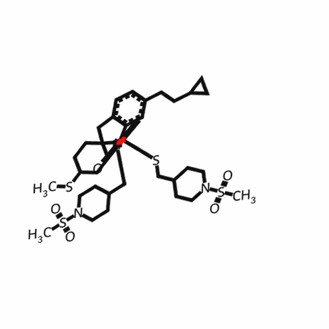 CSC1CCC2(CC1)Cc1ccc(CCC3CC3)cc1C21N=C(SCC2CCN(S(C)(=O)=O)CC2)N(CC2CCN(S(C)(=O)=O)CC2)C1=O